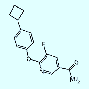 NC(=O)c1cnc(Oc2ccc(C3CCC3)cc2)c(F)c1